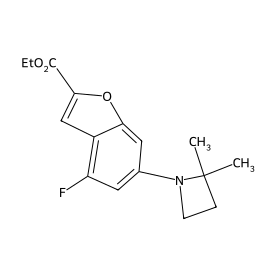 CCOC(=O)c1cc2c(F)cc(N3CCC3(C)C)cc2o1